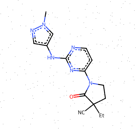 CCC1(C#N)CCN(c2ccnc(Nc3cnn(C)c3)n2)C1=O